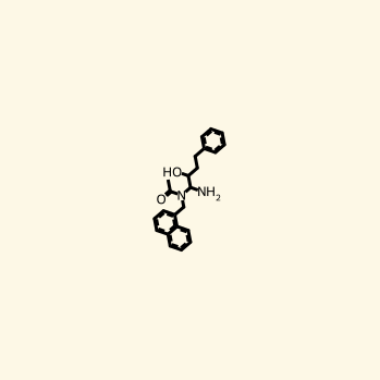 CC(=O)N(Cc1cccc2ccccc12)C(N)C(O)CCc1ccccc1